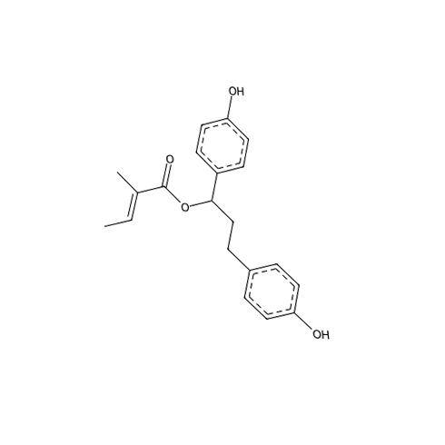 CC=C(C)C(=O)OC(CCc1ccc(O)cc1)c1ccc(O)cc1